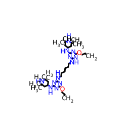 C=CCOc1nc(NCCCCCCNc2nc(NC3CC(C)(C)NC(C)(C)C3)nc(OCC=C)n2)nc(NC2CC(C)(C)NC(C)(C)C2)n1